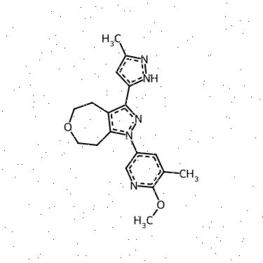 COc1ncc(-n2nc(-c3cc(C)n[nH]3)c3c2CCOCC3)cc1C